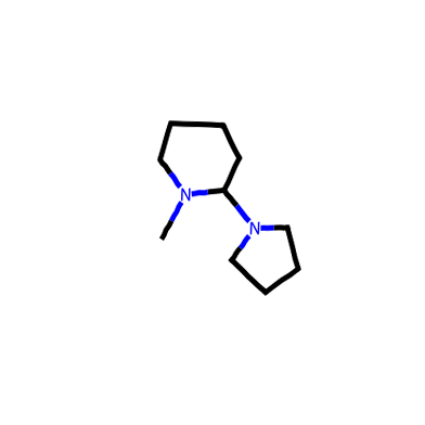 CN1CCCCC1N1CCCC1